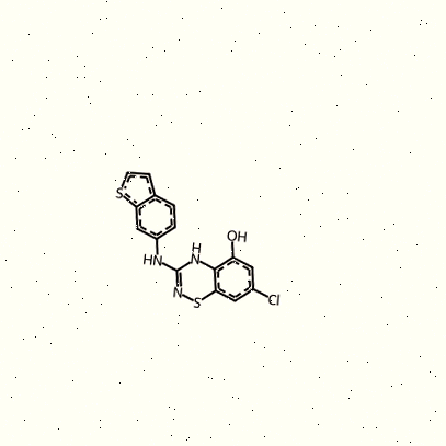 Oc1cc(Cl)cc2c1NC(Nc1ccc3ccsc3c1)=NS2